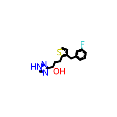 OC(CCc1sccc1Cc1cccc(F)c1)c1nc[nH]n1